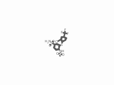 CS(=O)(=O)Nc1ccc(S(N)(=O)=O)cc1Sc1ccc(C(F)(F)F)cc1Cl